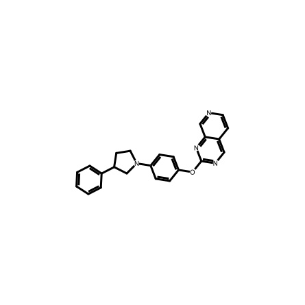 c1ccc(C2CCN(c3ccc(Oc4ncc5ccncc5n4)cc3)C2)cc1